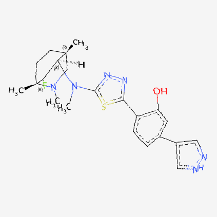 CN(c1nnc(-c2ccc(-c3cn[nH]c3)cc2O)s1)[C@H]1C(F)[C@@]2(C)CC[C@]1(C)CN2C